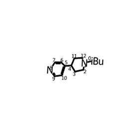 CCC(C)N1CCC(c2ccncc2)CC1